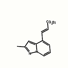 CCOC(=O)C=Cc1cccn2nc(C)cc12